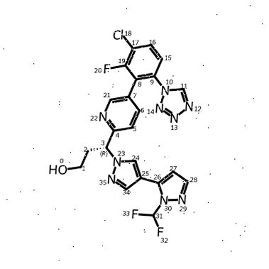 OCC[C@H](c1ccc(-c2c(-n3cnnn3)ccc(Cl)c2F)cn1)n1cc(-c2ccnn2C(F)F)cn1